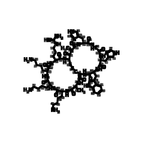 C[C@@H]1NC(=O)[C@@H]2CSSC(NC(=O)[C@H](CCCNC(=N)N)NC(=O)[C@H](CCCCN)NC(=O)[C@H](CCCCN)NC(=O)[C@H](CCCCN)NC1=O)C(=O)N(C)C(=O)N[C@@H](Cc1c[nH]cn1)C(=O)NCC(=O)N[C@@H](Cc1c[nH]cn1)C(=O)N[C@@H](Cc1c[nH]c3ccccc13)C(=O)N2